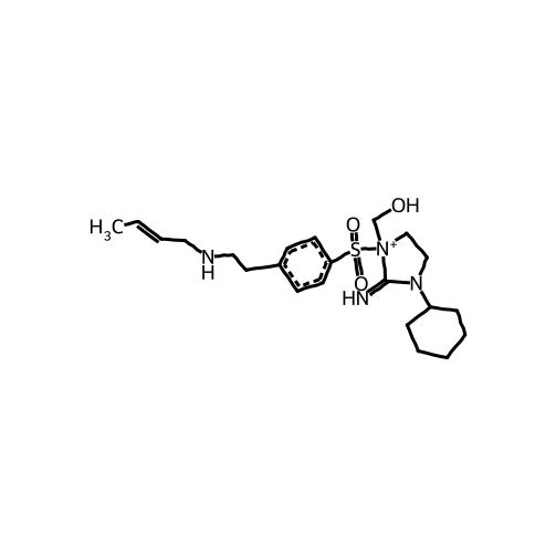 C/C=C/CNCCc1ccc(S(=O)(=O)[N+]2(CO)CCN(C3CCCCC3)C2=N)cc1